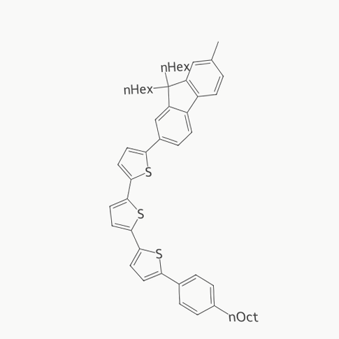 CCCCCCCCc1ccc(-c2ccc(-c3ccc(-c4ccc(-c5ccc6c(c5)C(CCCCCC)(CCCCCC)c5cc(C)ccc5-6)s4)s3)s2)cc1